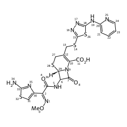 CON=C(C(=O)NC1C(=O)N2C(C(=O)O)=C(CSc3nnc(Nc4ccccn4)s3)CS[C@@H]12)c1csc(N)n1